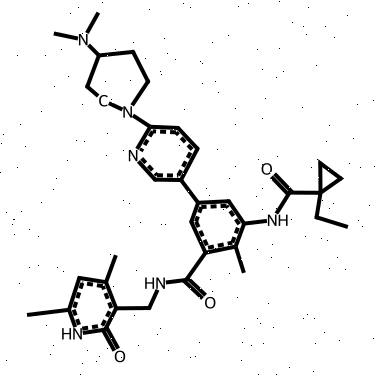 CCC1(C(=O)Nc2cc(-c3ccc(N4CCC(N(C)C)CC4)nc3)cc(C(=O)NCc3c(C)cc(C)[nH]c3=O)c2C)CC1